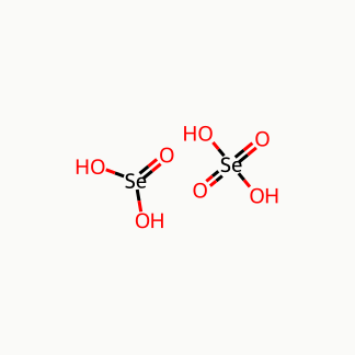 O=[Se](=O)(O)O.O=[Se](O)O